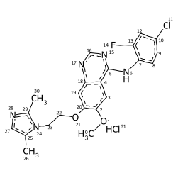 COc1cc2c(Nc3ccc(Cl)cc3F)ncnc2cc1OCCn1c(C)cnc1C.Cl